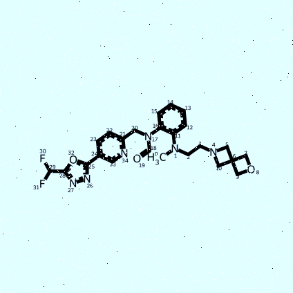 CN(CCN1CC2(COC2)C1)c1ccccc1N(C=O)Cc1ccc(-c2nnc(C(F)F)o2)cn1